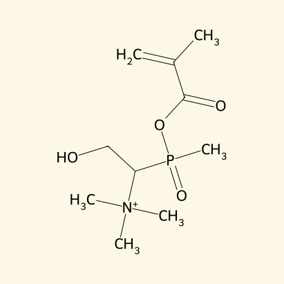 C=C(C)C(=O)OP(C)(=O)C(CO)[N+](C)(C)C